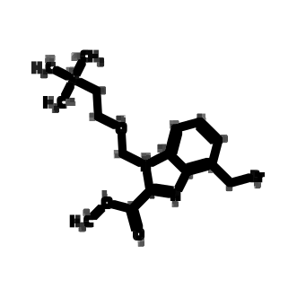 COC(=O)c1nc2c(CBr)cccc2n1COCC[Si](C)(C)C